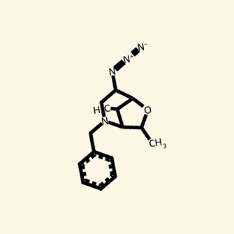 CC1OC2C(N=[N+]=[N-])CN(Cc3ccccc3)C1C2C